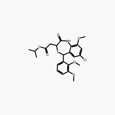 COc1cc(Cl)cc2c1NC(=O)C(CC(=O)OC(C)C)SC2c1cccc(OC)c1OC